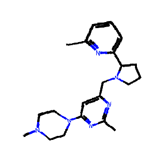 Cc1cccc(C2CCCN2Cc2cc(N3CCN(C)CC3)nc(C)n2)n1